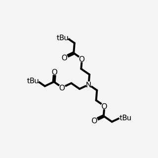 CC(C)(C)CC(=O)OCCN(CCOC(=O)CC(C)(C)C)CCOC(=O)CC(C)(C)C